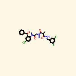 CC(C(=O)NCC(=O)N(C)c1ccc(Cl)cc1C(=O)c1ccccc1)C(=O)NCc1cc(F)cc(F)c1